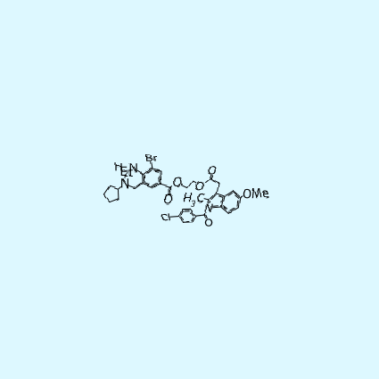 CCN(Cc1cc(C(=O)OCCOC(=O)Cc2c(C)n(C(=O)c3ccc(Cl)cc3)c3ccc(OC)cc23)cc(Br)c1N)C1CCCC1